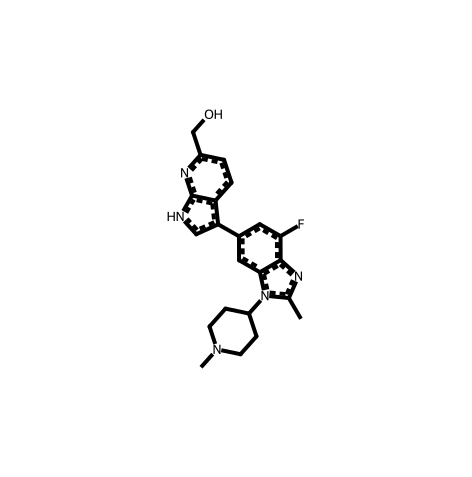 Cc1nc2c(F)cc(-c3c[nH]c4nc(CO)ccc34)cc2n1C1CCN(C)CC1